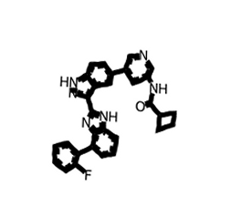 O=C(Nc1cncc(-c2ccc3[nH]nc(-c4nc5c(-c6ccccc6F)cccc5[nH]4)c3c2)c1)C1CCC1